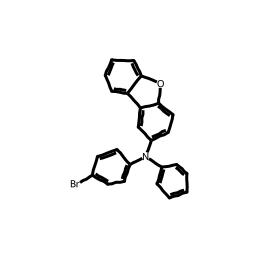 Brc1ccc(N(c2ccccc2)c2ccc3oc4ccccc4c3c2)cc1